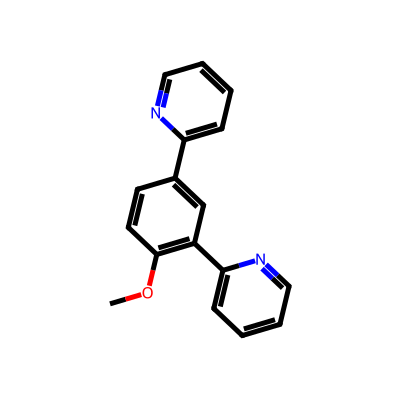 COc1ccc(-c2ccccn2)cc1-c1ccccn1